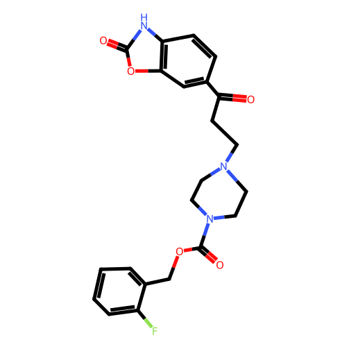 O=C(CCN1CCN(C(=O)OCc2ccccc2F)CC1)c1ccc2[nH]c(=O)oc2c1